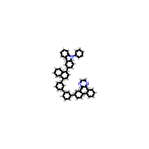 c1ccc(-n2c3ccccc3c3cc(-c4ccc(-c5cccc(-c6cccc(-c7ccc8c9ccccc9c9nccnc9c8c7)c6)c5)c5ccccc45)ccc32)cc1